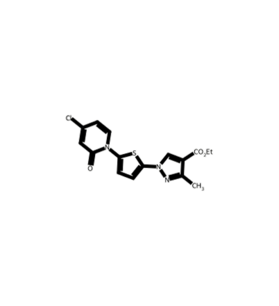 CCOC(=O)c1cn(-c2ccc(-n3ccc(Cl)cc3=O)s2)nc1C